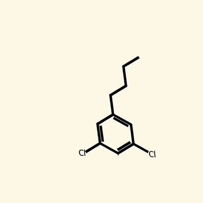 CCCCc1cc(Cl)[c]c(Cl)c1